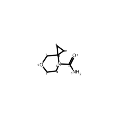 NC(=O)N1CCOCC12CC2